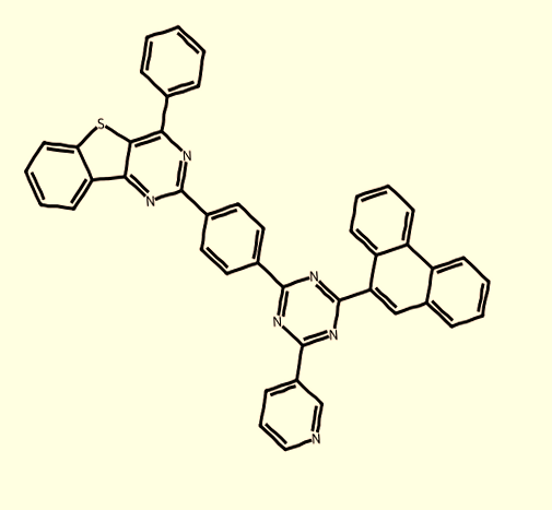 c1ccc(-c2nc(-c3ccc(-c4nc(-c5cccnc5)nc(-c5cc6ccccc6c6ccccc56)n4)cc3)nc3c2sc2ccccc23)cc1